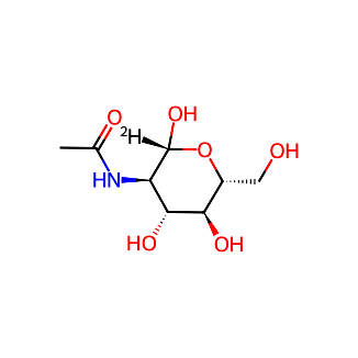 [2H][C@@]1(O)O[C@H](CO)[C@@H](O)[C@H](O)[C@H]1NC(C)=O